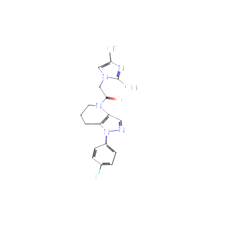 Cc1nc(C(F)(F)F)cn1CC(=O)N1CCCc2c1cnn2-c1ccc(F)cc1